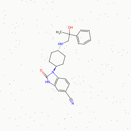 CC(O)(CN[C@H]1CC[C@H](n2c(=O)[nH]c3cc(C#N)ccc32)CC1)c1ccccc1